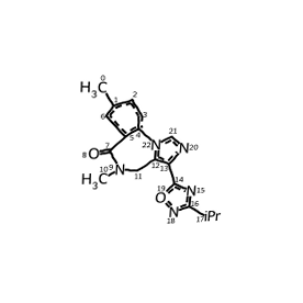 Cc1ccc2c(c1)C(=O)N(C)Cc1c(-c3nc(C(C)C)no3)ncn1-2